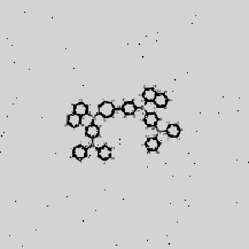 C1=CC(N(c2ccc(N(c3ccccc3)c3ccccc3)cc2)c2cccc3ccccc23)=CC=C(c2ccc(N(c3ccc(N(c4ccccc4)c4ccccc4)cc3)c3cccc4ccccc34)cc2)C1